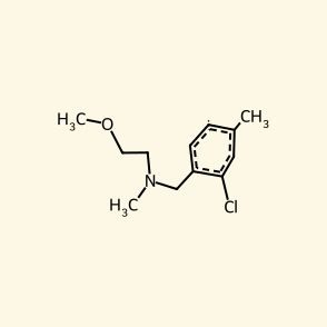 COCCN(C)Cc1c[c]c(C)cc1Cl